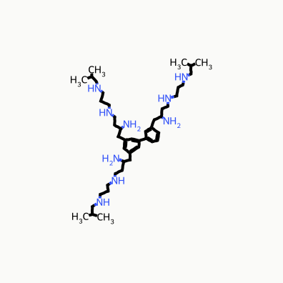 CC(C)CNCCCNCCC(N)Cc1cccc(-c2cc(CC(N)CCNCCCNCC(C)C)cc(CC(N)CCNCCCNCC(C)C)c2)c1